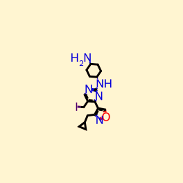 N[C@H]1CC[C@H](Nc2ncc(CI)c(-c3conc3CC3CC3)n2)CC1